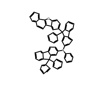 c1ccc(N(c2ccc3c(c2)C(c2ccccc2)(c2ccccc2)c2ccccc2-3)c2ccc3c(c2)C(c2ccccc2)(c2ccc4oc5c6ccccc6ccc5c4c2)c2ccccc2-3)cc1